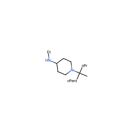 CCCCCC(C)(CCC)N1CCC(NCC)CC1